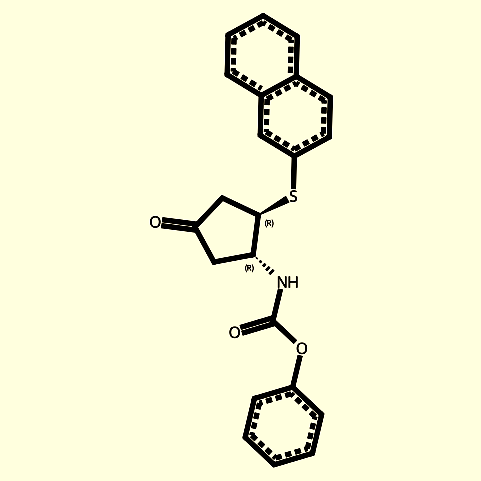 O=C1C[C@@H](NC(=O)Oc2ccccc2)[C@H](Sc2ccc3ccccc3c2)C1